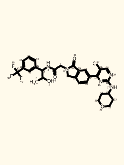 CC(O)C(NC(=O)CN1Cc2ccc(-c3nc(NC4CCOCC4)ncc3Cl)cc2C1=O)c1cccc(C(F)(F)F)c1